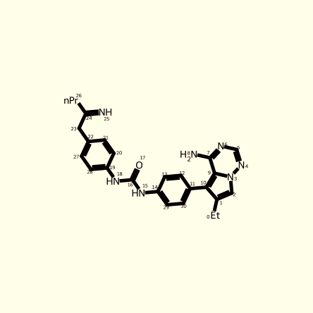 [CH2]Cc1cn2ncnc(N)c2c1-c1ccc(NC(=O)Nc2ccc(CC(=N)CCC)cc2)cc1